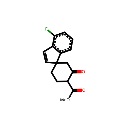 COC(=O)C1CCC2(C=Cc3c(F)cccc32)CC1=O